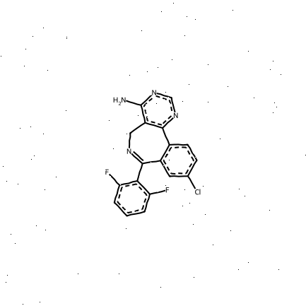 Nc1ncnc2c1CN=C(c1c(F)cccc1F)c1cc(Cl)ccc1-2